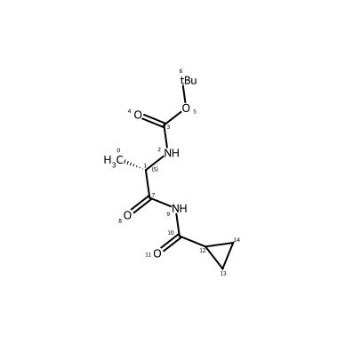 C[C@H](NC(=O)OC(C)(C)C)C(=O)NC(=O)C1CC1